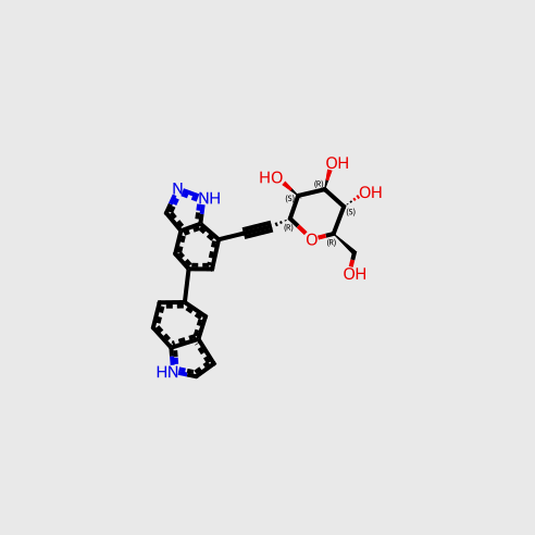 OC[C@H]1O[C@H](C#Cc2cc(-c3ccc4[nH]ccc4c3)cc3cn[nH]c23)[C@@H](O)[C@@H](O)[C@@H]1O